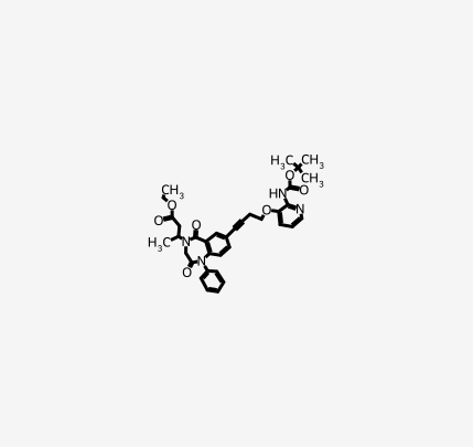 CCOC(=O)CC(C)N1CC(=O)N(c2ccccc2)c2ccc(C#CCCOc3cccnc3NC(=O)OC(C)(C)C)cc2C1=O